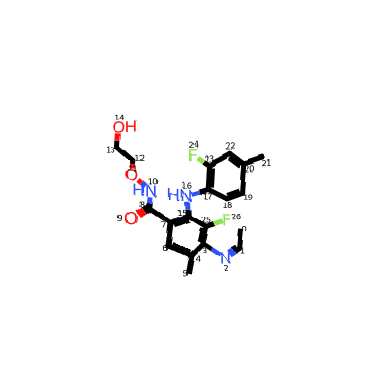 C/C=N\c1c(C)cc(C(=O)NOCCO)c(Nc2ccc(C)cc2F)c1F